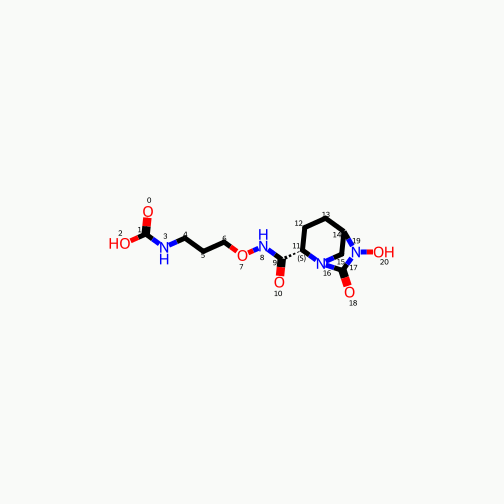 O=C(O)NCCCONC(=O)[C@@H]1CCC2CN1C(=O)N2O